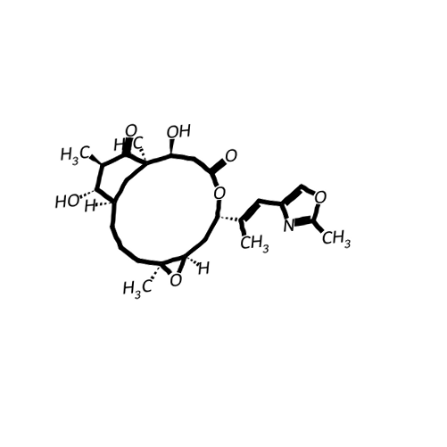 C/C(=C\c1coc(C)n1)[C@@H]1C[C@H]2O[C@@]2(C)CCC[C@@H]2C[C@@](C)(C(=O)[C@H](C)[C@H]2O)[C@@H](O)CC(=O)O1